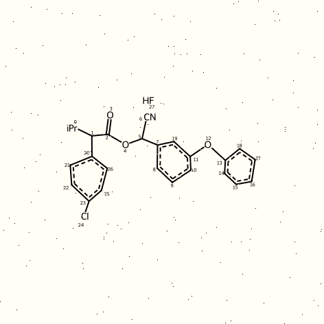 CC(C)C(C(=O)OC(C#N)c1cccc(Oc2ccccc2)c1)c1ccc(Cl)cc1.F